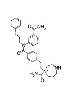 NC(=O)c1cccc(N(CCCc2ccccc2)C(=O)c2ccc(CC[N+]3(C(N)=O)CCCNCC3)cc2)c1